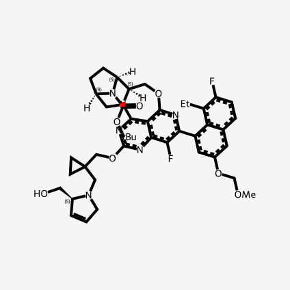 CCc1c(F)ccc2cc(OCOC)cc(-c3nc4c5c(nc(OCC6(CN7CC=C[C@H]7CO)CC6)nc5c3F)N3C[C@H]5CC[C@@H]([C@H]3CO4)N5C(=O)OC(C)(C)C)c12